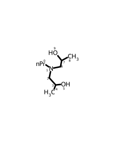 CCCN(CC(C)O)CC(C)O